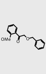 COc1ccccc1C(=O)COCc1ccccc1